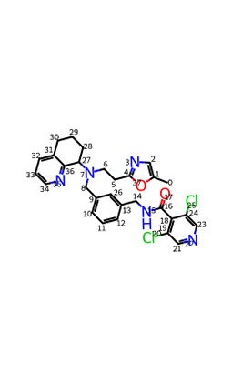 Cc1cnc(CCN(Cc2cccc(CNC(=O)c3c(Cl)cncc3Cl)c2)C2CCCc3cccnc32)o1